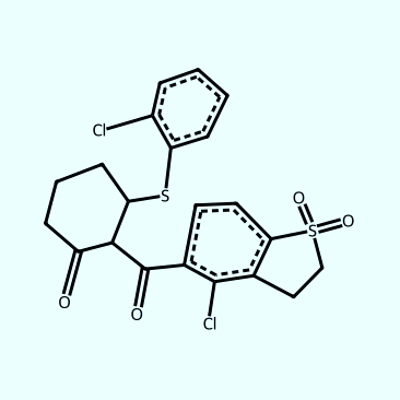 O=C1CCCC(Sc2ccccc2Cl)C1C(=O)c1ccc2c(c1Cl)CCS2(=O)=O